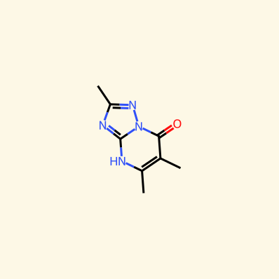 Cc1nc2[nH]c(C)c(C)c(=O)n2n1